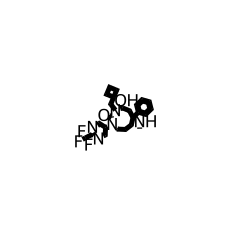 CN[C@@]1(c2ccccc2)CCCN(C2C=NC(C(F)(F)F)=NC2)C(=O)N(CC2(O)CCC2)CC1